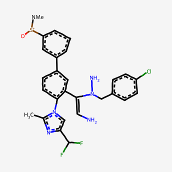 CN[S+]([O-])c1cccc(-c2ccc(-n3cc(C(F)F)nc3C)c(/C(=C/N)N(N)Cc3ccc(Cl)cc3)c2)c1